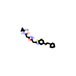 N#CC1(NC(=O)Cc2nnc(Cc3nc4cc(/C=C/c5ccccc5)ccc4s3)o2)CC1